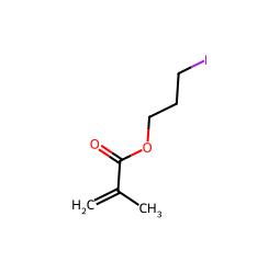 C=C(C)C(=O)OCCCI